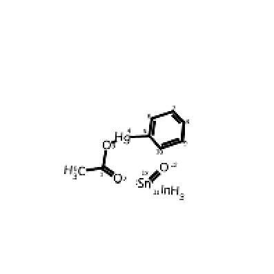 CC(=O)[O][Hg][c]1ccccc1.[InH3].[O]=[Sn]